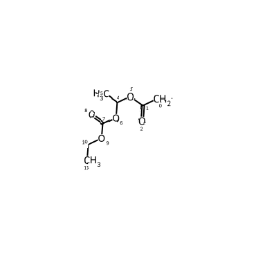 [CH2]C(=O)OC(C)OC(=O)OCC